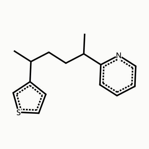 CC(CCC(C)c1ccccn1)c1ccsc1